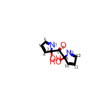 O=C(C1(O)C=CC=N1)C1(O)C=CC=N1